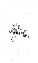 COCC(=O)C1NC(C(N)=O)Cc2c[c]ccc21